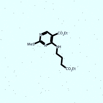 CCOC(=O)CCCNc1nc(SC)ncc1C(=O)OCC